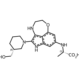 C[C@H](Nc1cc2c3c(c(N4CCC[C@@H](CO)C4)[nH]c3c1)NCCO2)C(=O)O